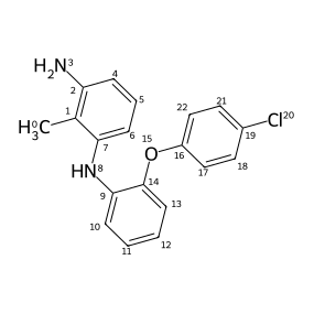 Cc1c(N)cccc1Nc1ccccc1Oc1ccc(Cl)cc1